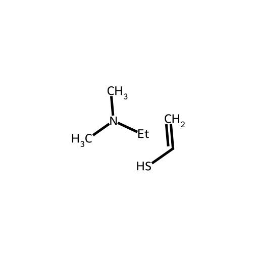 C=CS.CCN(C)C